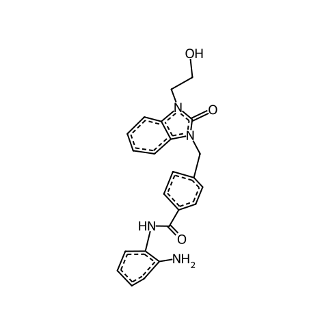 Nc1ccccc1NC(=O)c1ccc(Cn2c(=O)n(CCO)c3ccccc32)cc1